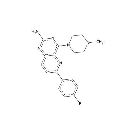 CN1CCN(c2nc(N)nc3ccc(-c4ccc(F)cc4)nc23)CC1